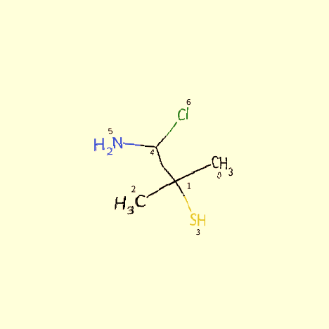 CC(C)(S)C(N)Cl